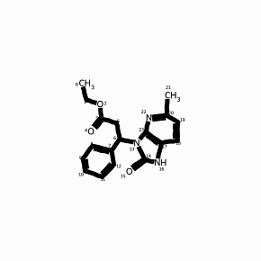 CCOC(=O)CC(c1ccccc1)n1c(=O)[nH]c2ccc(C)nc21